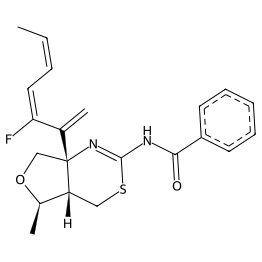 C=C(/C(F)=C\C=C/C)[C@]12CO[C@H](C)[C@H]1CSC(NC(=O)c1ccccc1)=N2